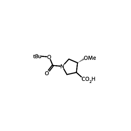 CO[C@H]1CN(C(=O)OC(C)(C)C)CC1C(=O)O